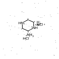 C1CNCCN1.Cl.Cl.N.N